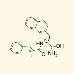 C[C@H](Cc1ccccc1)C(=O)N[C@@H](Cc1ccc2ccccc2c1)C(N)O